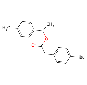 CCC(C)c1ccc(CC(=O)OC(C)c2ccc(C)cc2)cc1